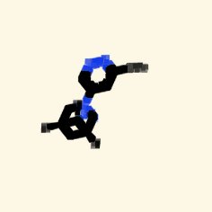 COc1cc(N2C[C@H]3C[C@@H](C2)[C@@H]3N)cnn1